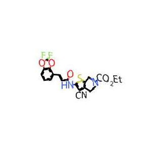 CCOC(=O)N1CCc2c(sc(NC(=O)/C=C/c3cccc4c3OC(F)(F)O4)c2C#N)C1